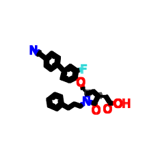 N#Cc1ccc(-c2ccc(OC[C@@H]3C[C@@H](CC(=O)O)C(=O)N3CCCc3ccccc3)c(F)c2)cc1